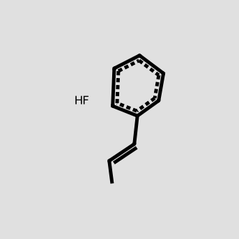 CC=Cc1ccccc1.F